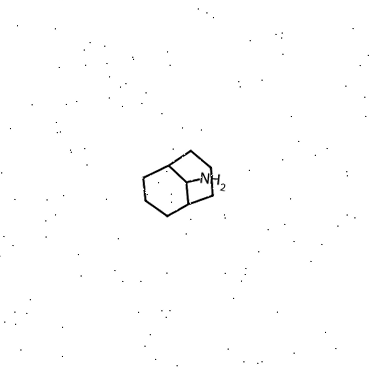 NC1C2CCCC1CCC2